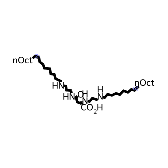 CCCCCCCC/C=C\CCCCCCCCNCCCNC(=O)C[C@H](NCCCNCCCCCCCC/C=C\CCCCCCCC)C(=O)O